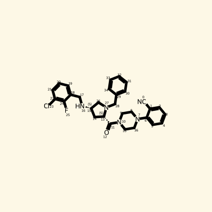 N#Cc1ccccc1N1CCN(C(=O)[C@@H]2C[C@H](NCc3cccc(Cl)c3F)CN2Cc2ccccc2)CC1